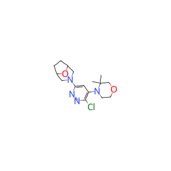 CC1(C)COCCN1c1cc(N2CC3CCC(C2)O3)nnc1Cl